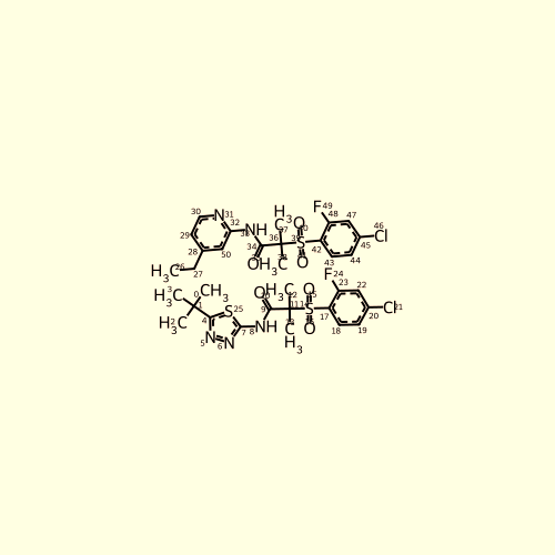 CC(C)(C)c1nnc(NC(=O)C(C)(C)S(=O)(=O)c2ccc(Cl)cc2F)s1.CCc1ccnc(NC(=O)C(C)(C)S(=O)(=O)c2ccc(Cl)cc2F)c1